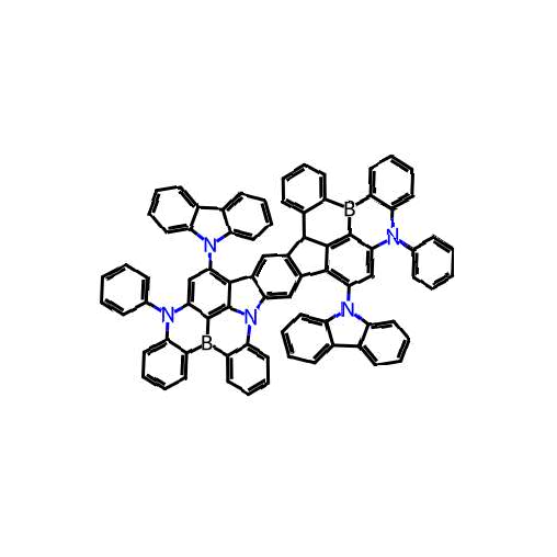 c1ccc(N2c3ccccc3B3c4ccccc4C4c5cc6c7c(-n8c9ccccc9c9ccccc98)cc8c9c7n(c6cc5-c5c(-n6c7ccccc7c7ccccc76)cc2c3c54)-c2ccccc2B9c2ccccc2N8c2ccccc2)cc1